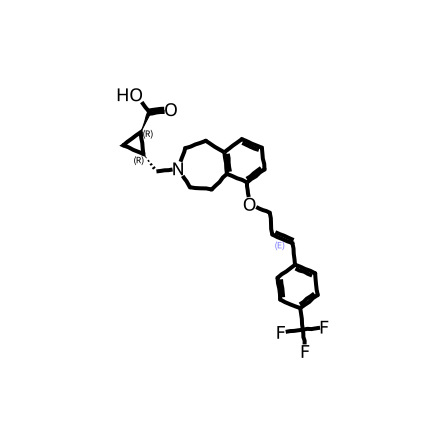 O=C(O)[C@@H]1C[C@H]1CN1CCc2cccc(OC/C=C/c3ccc(C(F)(F)F)cc3)c2CC1